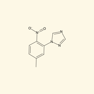 Cc1ccc([N+](=O)[O-])c(-n2cncn2)c1